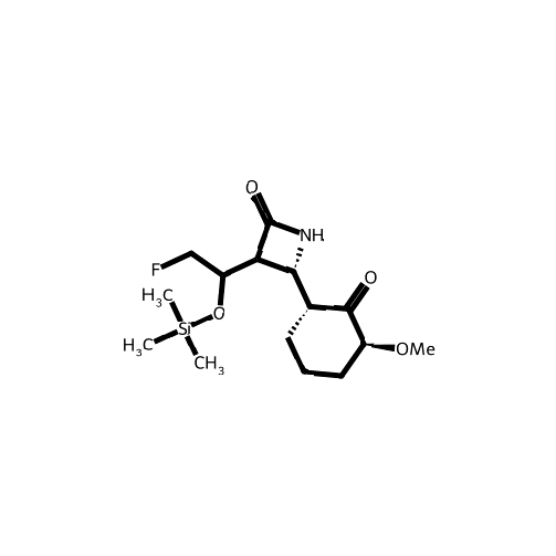 CO[C@H]1CCC[C@H]([C@H]2NC(=O)C2C(CF)O[Si](C)(C)C)C1=O